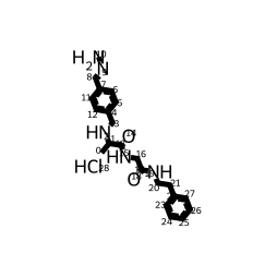 CC(NCc1ccc(C=NN)cc1)C(=O)NCC(=O)NCCc1ccccc1.Cl